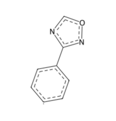 [c]1ccc(-c2ncon2)cc1